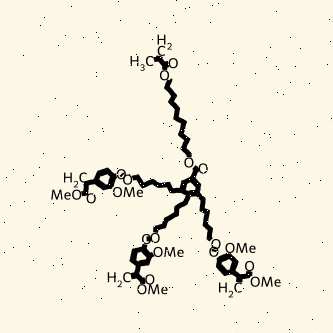 C=C(C)C(=O)OCCCCCCCCCCCOC(=O)c1cc(CCCCCCOOc2ccc(C(=C)C(=O)OC)cc2OC)c(CCCCCCOOc2ccc(C(=C)C(=O)OC)cc2OC)c(CCCCCCOOc2ccc(C(=C)C(=O)OC)cc2OC)c1